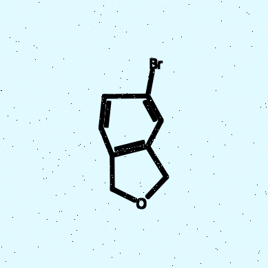 Brc1ccc2c(c1)COC2